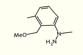 COCc1c(C)cccc1N(C)N